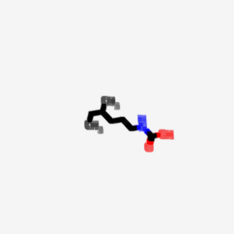 CCC(C)CCCNC(=O)O